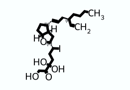 C=C[C@@H](CC=C[C@H]1CC[C@H]2O[C@@H](C(I)CCC(O)(O)C(=O)CO)C[C@H]12)CCCC